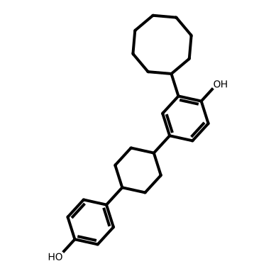 Oc1ccc(C2CCC(c3ccc(O)c(C4CCCCCCC4)c3)CC2)cc1